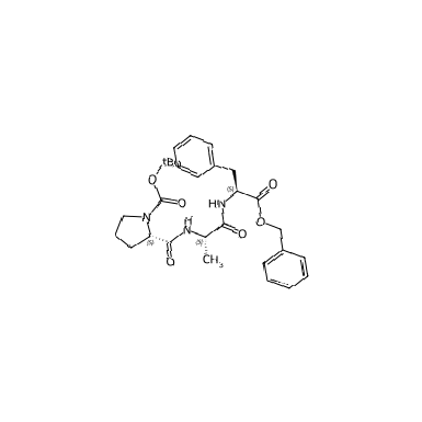 C[C@H](NC(=O)[C@@H]1CCCN1C(=O)OC(C)(C)C)C(=O)N[C@@H](Cc1ccccc1)C(=O)OCc1ccccc1